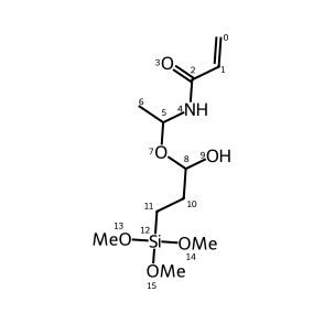 C=CC(=O)NC(C)OC(O)CC[Si](OC)(OC)OC